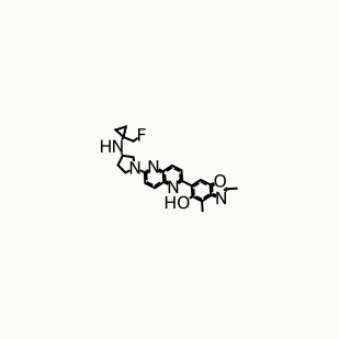 Cc1nc2c(C)c(O)c(-c3ccc4nc(N5CC[C@@H](NC6(CF)CC6)C5)ccc4n3)cc2o1